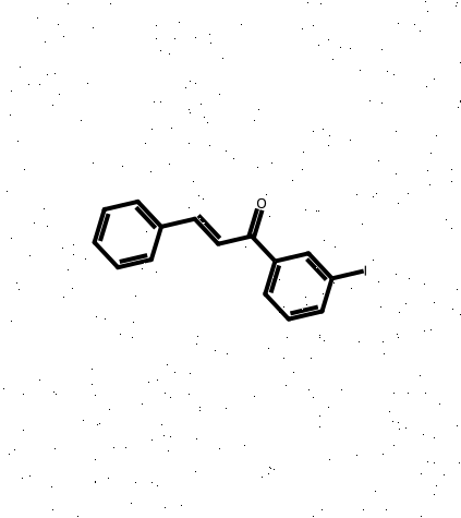 O=C(C=Cc1ccccc1)c1cccc(I)c1